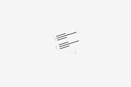 N#C[S-].N#C[S-].[Pd+2]